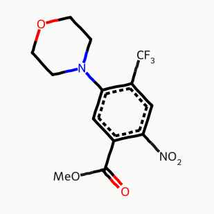 COC(=O)c1cc(N2CCOCC2)c(C(F)(F)F)cc1[N+](=O)[O-]